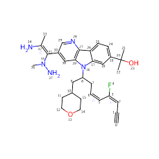 C#C/C=C(F)\C=C/CC(CC1CCOCC1)n1c2cc(C(C)(C)O)ccc2c2ncc(/C(=C(\C)N)N(C)N)cc21